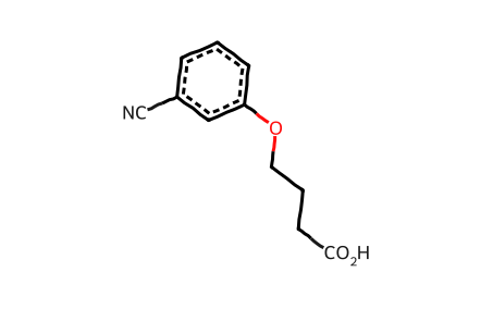 N#Cc1cccc(OCCCC(=O)O)c1